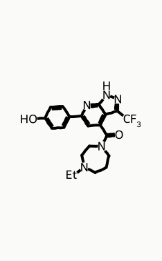 CCN1CCCN(C(=O)c2cc(-c3ccc(O)cc3)nc3[nH]nc(C(F)(F)F)c23)CC1